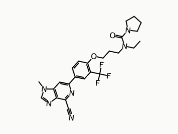 CCN(CCCOc1ccc(-c2cc3c(ncn3C)c(C#N)n2)cc1C(F)(F)F)C(=O)N1CCCC1